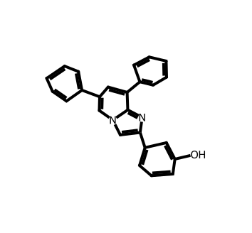 Oc1cccc(-c2cn3cc(-c4ccccc4)cc(-c4ccccc4)c3n2)c1